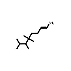 BC=CCCC(C)(C)C(C)C(C)C